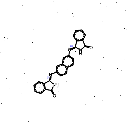 O=C1N/C(=N\c2ccc3ccc(/N=C4\NC(=O)c5ccccc54)cc3c2)c2ccccc21